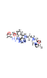 CN1CCN(CC2CC(n3cc(-c4cccc(OC[C@@H]5CCCO5)c4)c4c(N)ncnc43)C2)CC1=O